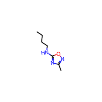 CCCCNc1nc(C)no1